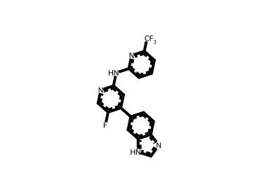 Fc1cnc(Nc2cccc(C(F)(F)F)n2)cc1-c1ccc2nc[nH]c2c1